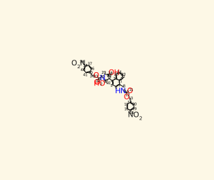 C[C@]1(O)C(c2ccc(CNC(=O)OCc3ccc([N+](=O)[O-])cc3)c3ccccc23)[C@@H](O)CN1C(=O)OCc1ccc([N+](=O)[O-])cc1